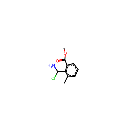 COC(=O)c1cccc(C)c1C(N)Cl